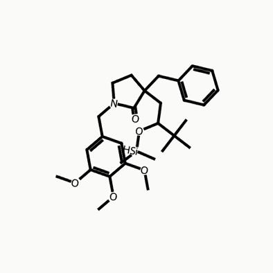 COc1cc(CN2CCC(Cc3ccccc3)(CC(O[SiH](C)C)C(C)(C)C)C2=O)cc(OC)c1OC